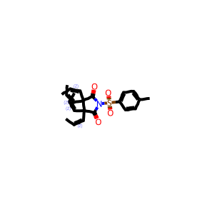 C/C=C\C1(/C=C\C)C(=O)N(S(=O)(=O)c2ccc(C)cc2)C(=O)C1(/C=C\C)/C=C\C